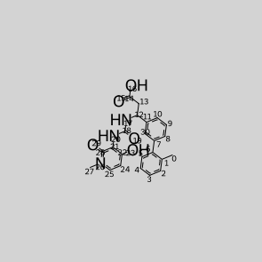 Cc1ccccc1-c1cccc(C(CC(=O)O)NC(=O)Nc2c(O)ccn(C)c2=O)c1